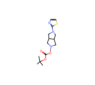 CC(C)(C)OC(=O)ON1CC2CN(c3nccs3)CC2C1